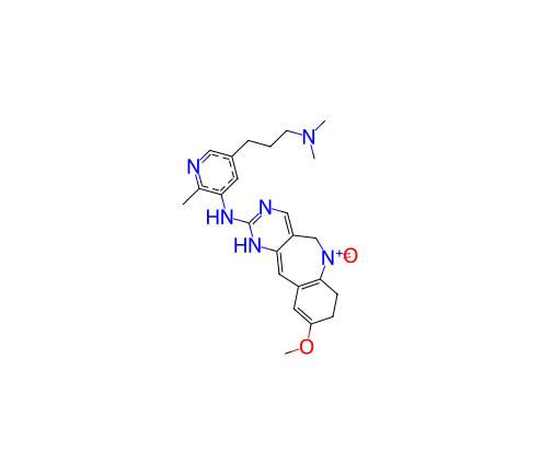 COC1=CC2=C(CC1)[N+](=O)CC1=CN=C(Nc3cc(CCCN(C)C)cnc3C)NC1=C2